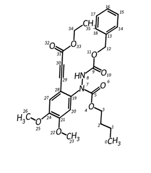 CCCCOC(=O)N(NC(=O)OCc1ccccc1)c1cc(OC)c(OC)cc1C#CC(=O)OCC